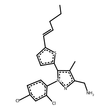 CCCC=Cc1ccc(-c2c(C)c(CN)nn2-c2ccc(Cl)cc2Cl)s1